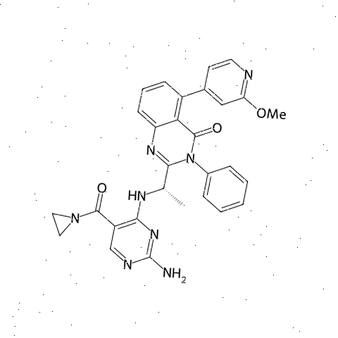 COc1cc(-c2cccc3nc([C@H](C)Nc4nc(N)ncc4C(=O)N4CC4)n(-c4ccccc4)c(=O)c23)ccn1